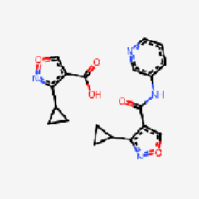 O=C(Nc1cccnc1)c1conc1C1CC1.O=C(O)c1conc1C1CC1